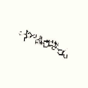 O=C(COc1cnc(Cl)c(F)c1)N[C@H]1CC[C@H](c2nnc(-c3ccc(Cl)c(Cl)c3)o2)NC1